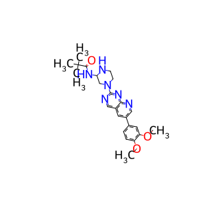 COc1ccc(-c2cnc3nc(N4CCNC(NC(=O)C(C)(C)C)C4)ncc3c2)cc1OC